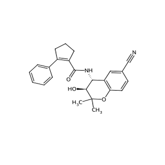 CC1(C)Oc2ccc(C#N)cc2[C@@H](NC(=O)C2=C(c3ccccc3)CCC2)[C@@H]1O